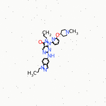 C=CCn1c(=O)c2cnc(Nc3ccc4c(cnn4CCC)c3)nc2n1-c1cccc(OC2CCN(C)CC2)n1